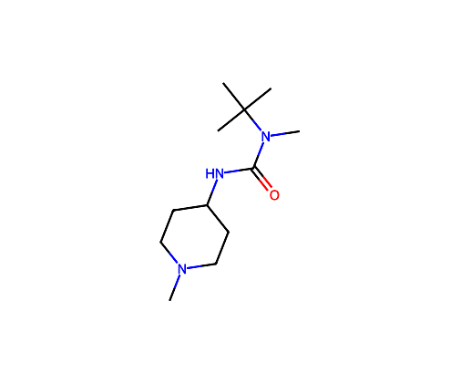 CN1CCC(NC(=O)N(C)C(C)(C)C)CC1